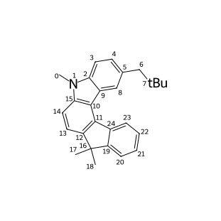 Cn1c2ccc(CC(C)(C)C)cc2c2c3c(ccc21)C(C)(C)c1ccccc1-3